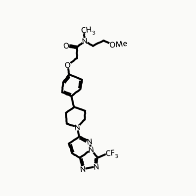 COCCN(C)C(=O)COc1ccc(C2CCN(c3ccc4nnc(C(F)(F)F)n4n3)CC2)cc1